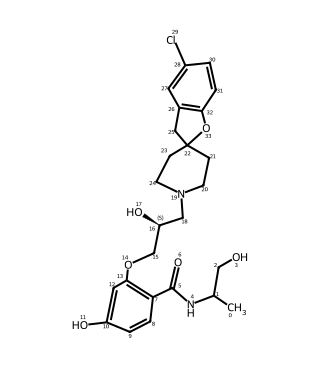 CC(CO)NC(=O)c1ccc(O)cc1OC[C@@H](O)CN1CCC2(CC1)Cc1cc(Cl)ccc1O2